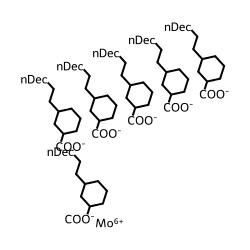 CCCCCCCCCCCCC1CCCC(C(=O)[O-])C1.CCCCCCCCCCCCC1CCCC(C(=O)[O-])C1.CCCCCCCCCCCCC1CCCC(C(=O)[O-])C1.CCCCCCCCCCCCC1CCCC(C(=O)[O-])C1.CCCCCCCCCCCCC1CCCC(C(=O)[O-])C1.CCCCCCCCCCCCC1CCCC(C(=O)[O-])C1.[Mo+6]